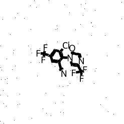 N#Cc1cc(C(F)(F)F)cc(Cl)c1-n1cc(C(F)(F)F)ncc1=O